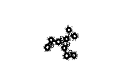 c1ccc(N(c2ccccc2)c2cc3c4c(c2)Oc2cc(-c5cccc6c5oc5ccccc56)ccc2B4c2ccc(-c4cccc5c4oc4ccccc45)cc2O3)cc1